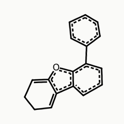 C1=c2oc3c(-c4ccccc4)cccc3c2=CCC1